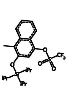 Cc1c(O[Si](C(C)C)(C(C)C)C(C)C)cc(OS(=O)(=O)C(F)(F)F)c2ccccc12